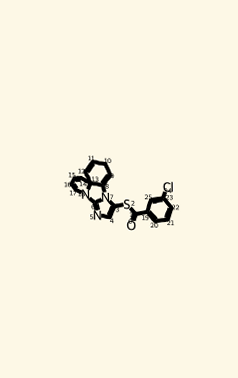 O=C(Sc1cnc2n1C1=CCC=CC13C=CC=CN23)c1cccc(Cl)c1